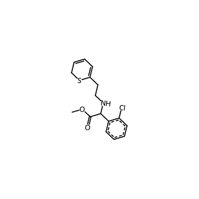 COC(=O)C(NCCC1=CC=CCS1)c1ccccc1Cl